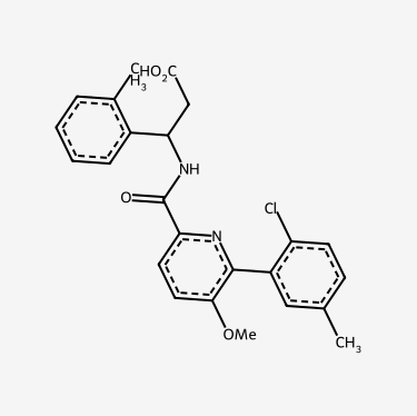 COc1ccc(C(=O)NC(CC(=O)O)c2ccccc2C)nc1-c1cc(C)ccc1Cl